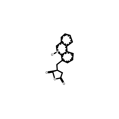 O=C1CC(Cc2cccc3c4ccccc4c[p+]([O-])c23)C(=O)O1